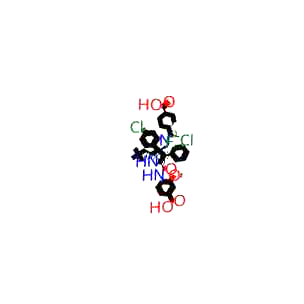 COc1cc(C(=O)O)ccc1NC(=O)[C@@H]1N[C@@H](CC(C)(C)C)[C@@]2(CN([C@@H](C)[C@H]3CC[C@H](C(=O)O)CC3)c3cc(Cl)ccc32)[C@H]1c1cccc(Cl)c1F